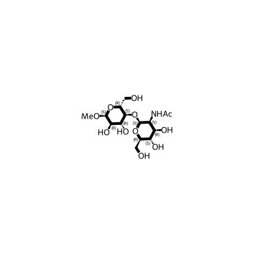 CO[C@H]1O[C@H](CO)[C@@H](O[C@@H]2O[C@H](CO)[C@@H](O)[C@H](O)[C@@H]2NC(C)=O)[C@H](O)[C@H]1O